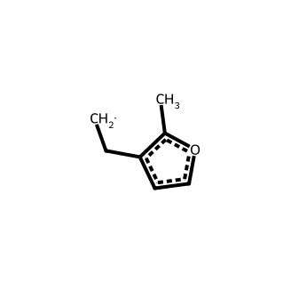 [CH2]Cc1ccoc1C